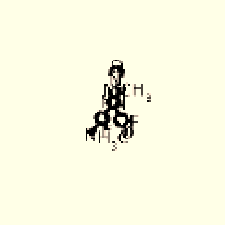 COc1ccc(-c2nc3c(nc2-c2ccc(C#N)c(F)c2)nc(N2CCOCC2)n3C)cc1F